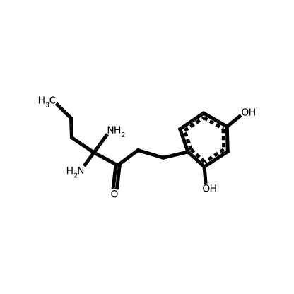 CCCC(N)(N)C(=O)CCc1ccc(O)cc1O